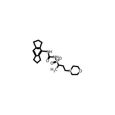 CC(CCN1CCOCC1)S(=O)(=O)NC(=O)Nc1c2c(cc3c1CCC3)CCC2